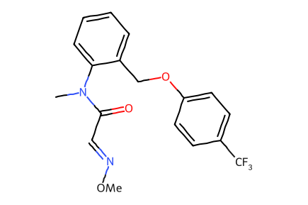 CON=CC(=O)N(C)c1ccccc1COc1ccc(C(F)(F)F)cc1